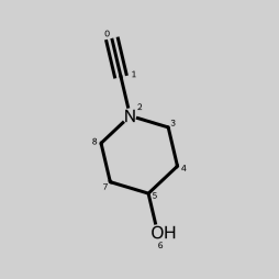 C#CN1CCC(O)CC1